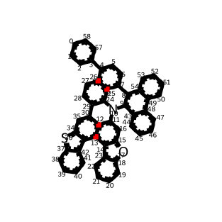 c1ccc(-c2ccc(-c3c(N(c4ccc5c(c4)oc4ccccc45)c4ccccc4-c4ccc5c(c4)sc4ccccc45)c4ccccc4c4ccccc34)cc2)cc1